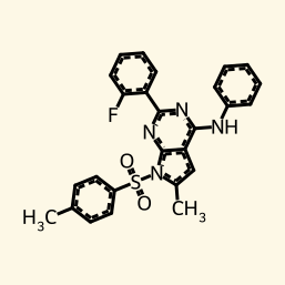 Cc1ccc(S(=O)(=O)n2c(C)cc3c(Nc4ccccc4)nc(-c4ccccc4F)nc32)cc1